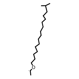 C[CH]OCCCCCCCCCCCCCCC(C)C